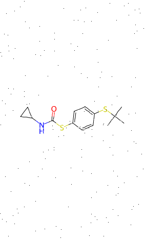 CC(C)(C)Sc1ccc(SC(=O)NC2CC2)cc1